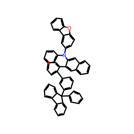 c1ccc(N(c2ccc3oc4ccccc4c3c2)c2cc3ccccc3cc2-c2ccccc2-c2cccc(C3(c4ccccc4)c4ccccc4-c4ccccc43)c2)cc1